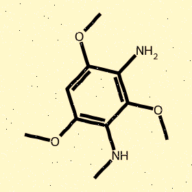 CNc1c(OC)cc(OC)c(N)c1OC